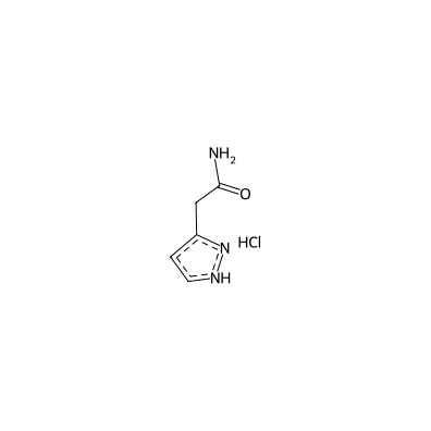 Cl.NC(=O)Cc1cc[nH]n1